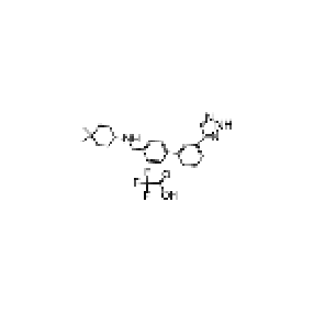 CC1(C)CCC(NCc2ccc(-c3cccc(-c4cn[nH]n4)c3)cc2)CC1.O=C(O)C(F)(F)F